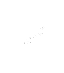 CC(C)N1CCN(CCCCOCC(F)(F)CNC(C)(C)C)CC1